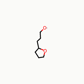 [O]CCCC1CCCO1